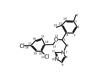 Cc1ccc(C(Cn2ccnc2)OCc2ccc(Cl)cc2Cl)c(C)c1